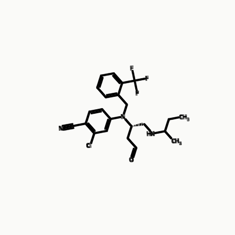 CCC(C)NC[C@H](CC=O)N(Cc1ccccc1C(F)(F)F)c1ccc(C#N)c(Cl)c1